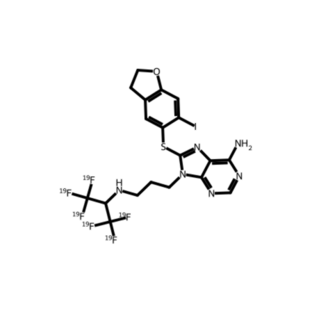 Nc1ncnc2c1nc(Sc1cc3c(cc1I)OCC3)n2CCCNC(C([19F])([19F])[19F])C([19F])([19F])[19F]